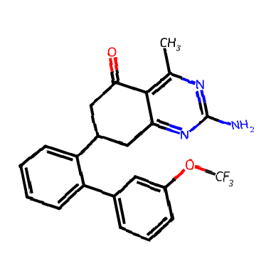 Cc1nc(N)nc2c1C(=O)CC(c1ccccc1-c1cccc(OC(F)(F)F)c1)C2